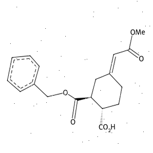 COC(=O)C=C1CC[C@H](C(=O)O)[C@@H](C(=O)OCc2ccccc2)C1